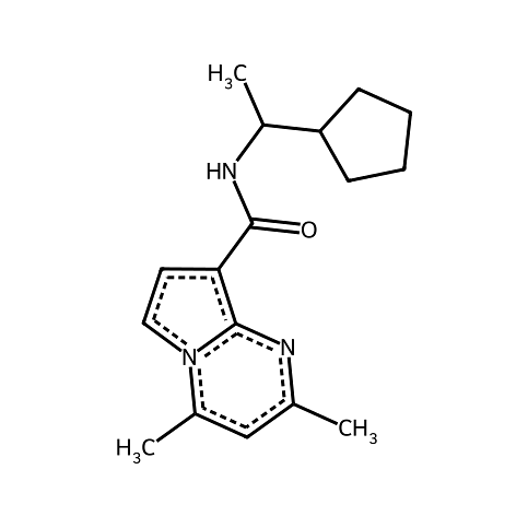 Cc1cc(C)n2ccc(C(=O)NC(C)C3CCCC3)c2n1